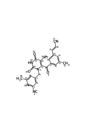 [C-]#[N+]c1cc(Cn2c(C(=O)c3cc(C)cc(/C=C/C#N)c3)c(C(C)C)c(=O)[nH]c2=O)cc(C)n1